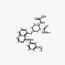 CNC(=O)[C@@H]1CN(Cc2cccc3ncnc(Nc4cccc(OC)c4)c23)CC[C@H]1NC(=O)O